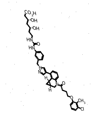 Cc1c(Cl)cccc1OCCCC(=O)N1C[C@@H]2C[C@@H]2c2c(-c3cnn(Cc4cccc(NC(=O)NCC[C@@H](O)C[C@@H](O)CC(=O)O)c4)c3)cccc21